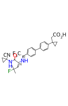 CC(C)(F)C[C@H](N[C@@H](c1ccc(-c2ccc(C3(CC(=O)O)CC3)cc2)cc1)C(F)(F)F)C(=O)NC1(C#N)CC1